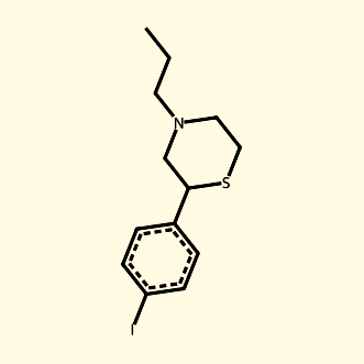 CCCN1CCSC(c2ccc(I)cc2)C1